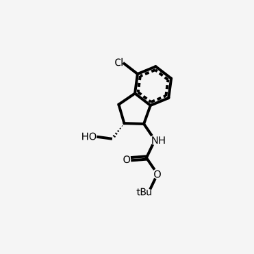 CC(C)(C)OC(=O)NC1c2cccc(Cl)c2C[C@H]1CO